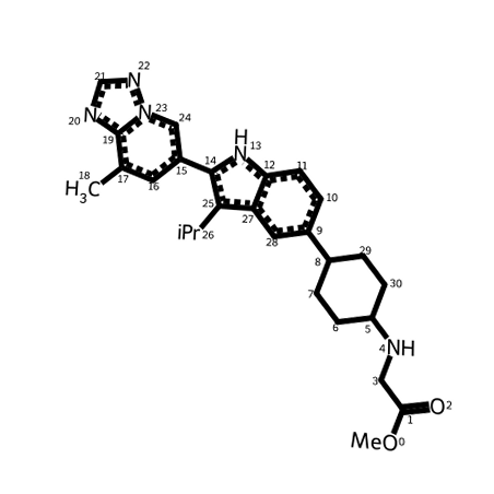 COC(=O)CNC1CCC(c2ccc3[nH]c(-c4cc(C)c5ncnn5c4)c(C(C)C)c3c2)CC1